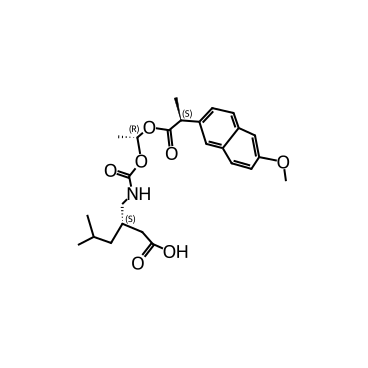 COc1ccc2cc([C@H](C)C(=O)O[C@@H](C)OC(=O)NC[C@H](CC(=O)O)CC(C)C)ccc2c1